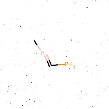 CB=CP